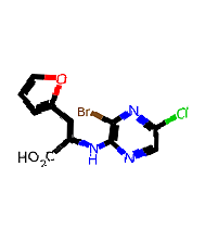 O=C(O)C(Cc1ccco1)Nc1ncc(Cl)nc1Br